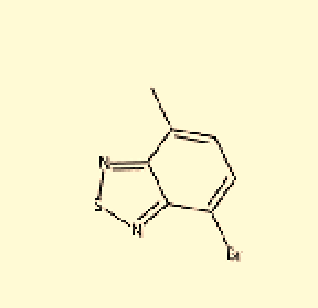 Cc1ccc(Br)c2nsnc12